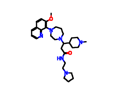 COc1ccc2cccnc2c1N1CCCN(C(CC(=O)NCCN2CCCC2)C2CCN(C)CC2)CC1